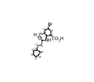 Cc1cc(Br)cc(C(=O)O)c1NC(=O)CCc1ccccc1